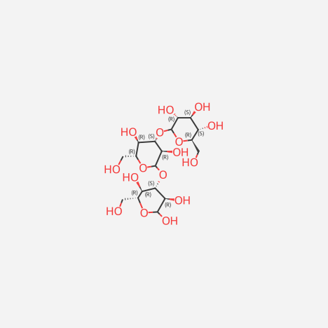 OC[C@H]1OC(O[C@H]2[C@H](O)[C@@H](CO)OC(O[C@H]3[C@H](O)[C@@H](CO)OC(O)[C@@H]3O)[C@@H]2O)[C@H](O)[C@@H](O)[C@@H]1O